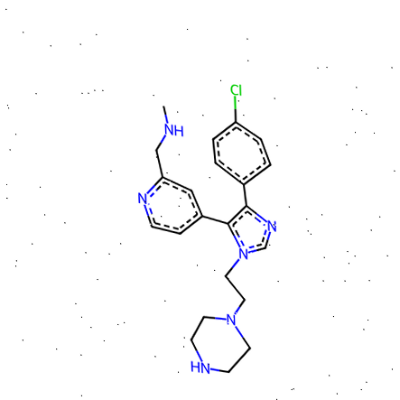 CNCc1cc(-c2c(-c3ccc(Cl)cc3)ncn2CCN2CCNCC2)ccn1